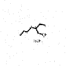 CCCCC(CC)CO.[BaH2]